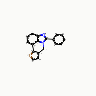 c1ccc(-c2nc3cccc4c3n2Cc2ccsc2-4)cc1